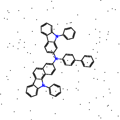 c1ccc(-c2ccc(N(c3ccc4c(ccc5c6ccccc6n(-c6ccccc6)c45)c3)c3ccc4c5ccccc5n(-c5ccccc5)c4c3)cc2)cc1